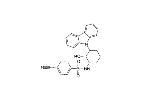 N#Cc1ccc(S(=O)(=O)NC2CCCC(n3c4ccccc4c4ccccc43)[C@H]2O)cc1